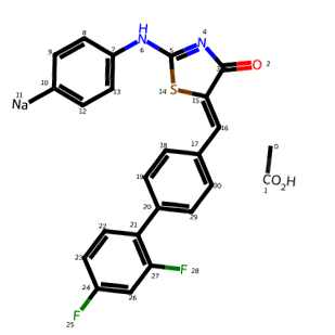 CC(=O)O.O=C1N=C(Nc2cc[c]([Na])cc2)SC1=Cc1ccc(-c2ccc(F)cc2F)cc1